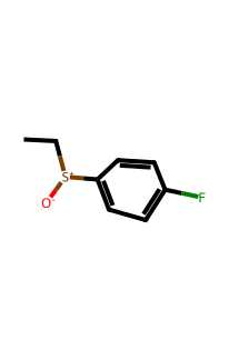 CC[S+]([O-])c1ccc(F)cc1